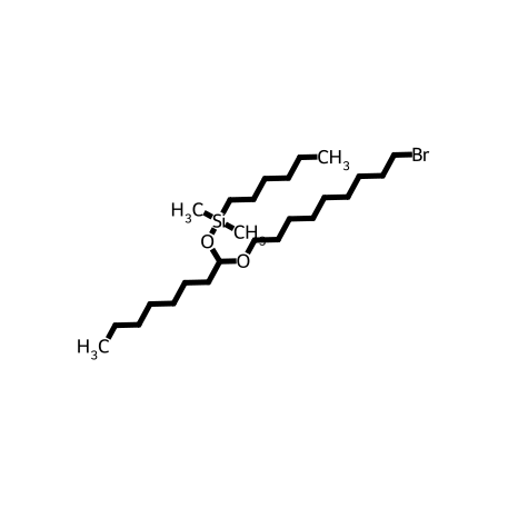 CCCCCCCC(OCCCCCCCCCBr)O[Si](C)(C)CCCCCC